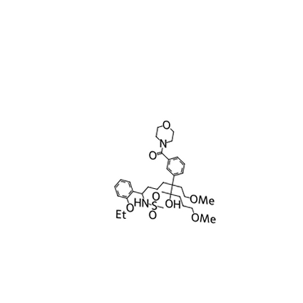 CCOc1ccccc1C(CCCC(CCOC)(c1cccc(C(=O)N2CCOCC2)c1)C(C)(O)CCCOC)NS(C)(=O)=O